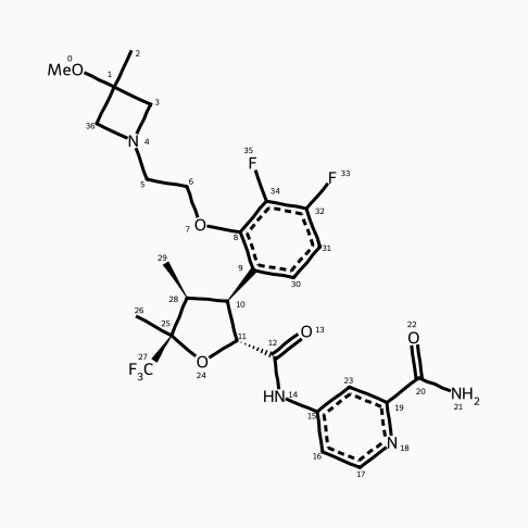 COC1(C)CN(CCOc2c([C@H]3[C@H](C(=O)Nc4ccnc(C(N)=O)c4)O[C@@](C)(C(F)(F)F)[C@H]3C)ccc(F)c2F)C1